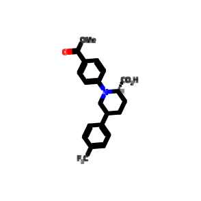 COC(=O)c1ccc(N2CC(c3ccc(C(F)(F)F)cc3)CC[C@H]2C(=O)O)cc1